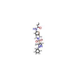 C=CC(=O)Nc1cc2c(s1)CN(S(=O)(=O)c1cnn(-c3ccccc3)c1C)C2